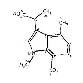 Cc1ccc([N+](=O)[O-])c2c1c(C(C)C(=O)O)cn2C